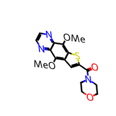 COc1c2cc(C(=O)N3CCOCC3)sc2c(OC)c2nccnc12